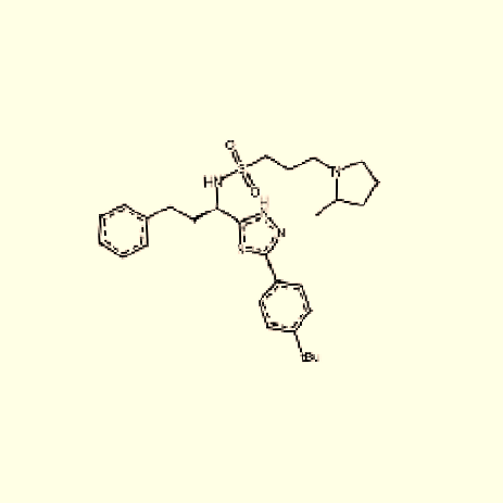 CC1CCCN1CCCS(=O)(=O)N[C@H](CCc1ccccc1)c1nc(-c2ccc(C(C)(C)C)cc2)n[nH]1